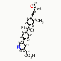 CCC1(C#Cc2ccc(C(CC)(CC)c3ccc(-c4cncc(CC(=O)O)c4)cc3)cc2C)CO1